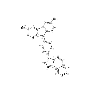 CCC(C)c1ccc2c(c1)c1cc(C(C)CC)ccc1n2-c1ccc(-c2nnc3c4ccccc4ccn23)cc1